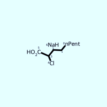 CCCCCCCC(Cl)C(=O)O.[NaH]